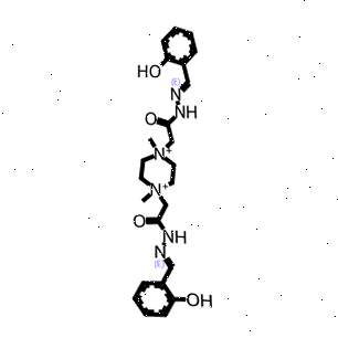 C[N+]1(CC(=O)N/N=C/c2ccccc2O)CC[N+](C)(CC(=O)N/N=C/c2ccccc2O)CC1